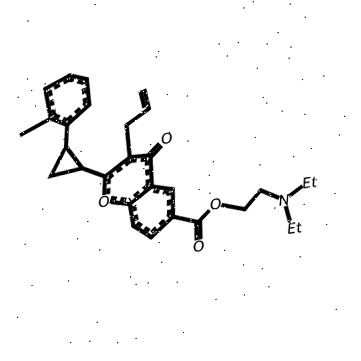 C=CCc1c(C2CC2c2ccccc2C)oc2ccc(C(=O)OCCN(CC)CC)cc2c1=O